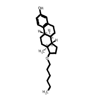 CCCCCCOC1CC[C@H]2[C@@H]3CCc4cc(O)ccc4[C@H]3CC[C@]12C